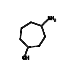 NC1CCCC(O)CC1